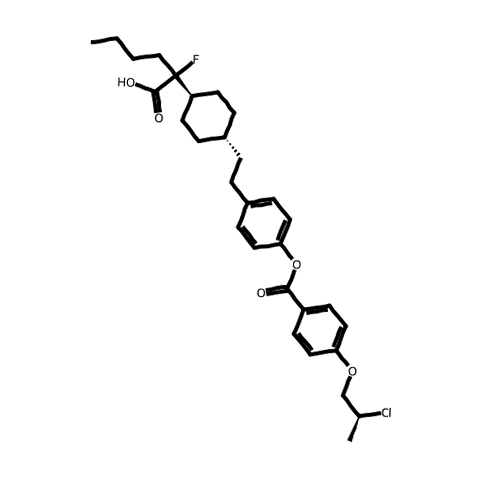 CCCCC(F)(C(=O)O)[C@H]1CC[C@H](CCc2ccc(OC(=O)c3ccc(OC[C@H](C)Cl)cc3)cc2)CC1